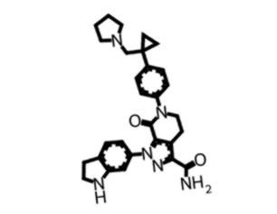 NC(=O)c1nn(-c2ccc3c(c2)NCC3)c2c1CCN(c1ccc(C3(CN4CCCC4)CC3)cc1)C2=O